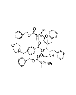 CC(C)[C@H](NC(=O)OCc1ccccc1)C(=O)NC(Cc1ccccc1)C(OC(=O)c1ccc(CN2CCOCC2)cc1)C(Cc1ccccc1)NC(=O)[C@@H](NC(=O)OCc1ccccc1)C(C)C